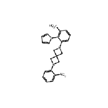 O=C(O)c1cccc(N2CC3(CN(c4ccccc4[N+](=O)[O-])C3)C2)c1-n1cccc1